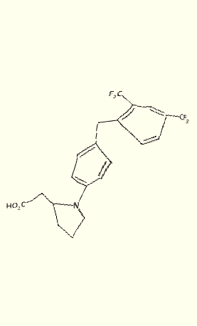 O=C(O)CC1CCCN1c1ccc(Cc2ccc(C(F)(F)F)cc2C(F)(F)F)cc1